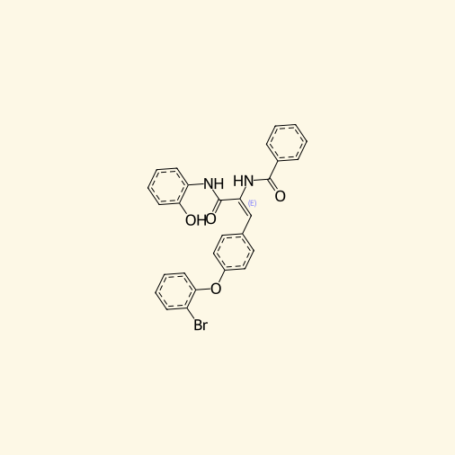 O=C(Nc1ccccc1O)/C(=C\c1ccc(Oc2ccccc2Br)cc1)NC(=O)c1ccccc1